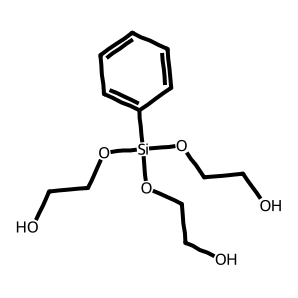 OCCO[Si](OCCO)(OCCO)c1ccccc1